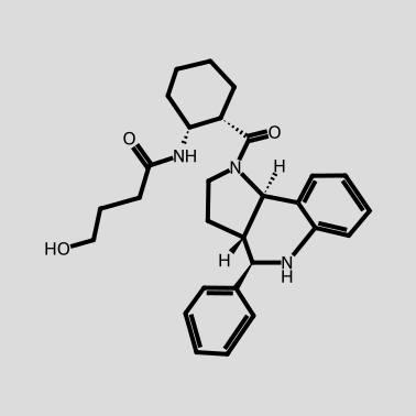 O=C(CCCO)N[C@@H]1CCCC[C@@H]1C(=O)N1CC[C@H]2[C@H](c3ccccc3)Nc3ccccc3[C@@H]21